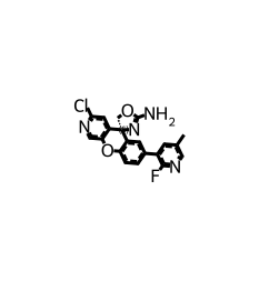 Cc1cnc(F)c(-c2ccc3c(c2)[C@@]2(COC(N)=N2)c2cc(Cl)ncc2O3)c1